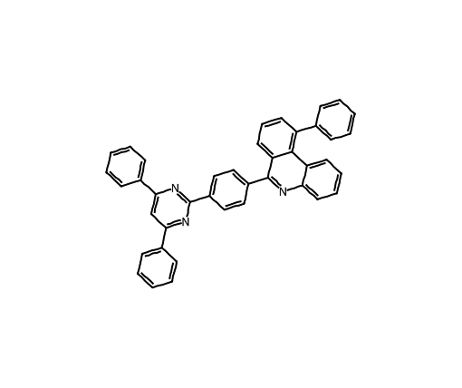 c1ccc(-c2cc(-c3ccccc3)nc(-c3ccc(-c4nc5ccccc5c5c(-c6ccccc6)cccc45)cc3)n2)cc1